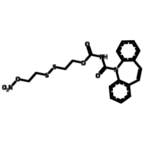 O=C(NC(=O)N1c2ccccc2C=Cc2ccccc21)OCCSSCCO[N+](=O)[O-]